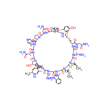 C=C1C=CC(C)NC=C1C[C@@H]1NC(=O)[C@@H]2C[C@@H](O)CN2C(=O)[C@H](CCC(N)=O)NC(=O)[C@H](Cc2cnc[nH]2)NC(=O)C2CCCN2C(=O)[C@H](CC(N)=O)NC(=O)C(C)N(C)C(=O)[C@H](Cc2ccc(O)cc2)NC(=O)CSC[C@@H](C(=O)NCC(N)=O)NC(=O)[C@H](CCN)NC(=O)[C@H](CCCC)N(C)C(=O)[C@H](CCCC)N(C)C(=O)[C@H](Cc2c[nH]c3ccccc23)NC(=O)[C@H](CCN)NC1=O